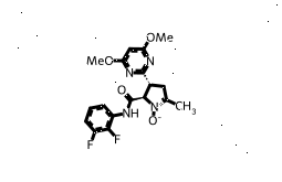 COc1cc(OC)nc([C@@H]2CC(C)=[N+]([O-])[C@H]2C(=O)Nc2cccc(F)c2F)n1